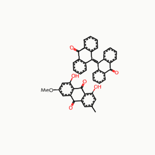 COc1cc(O)c2c(c1)C(=O)c1cc(C)cc(O)c1C2=O.O=C1c2ccccc2C(=C2c3ccccc3C(=O)c3ccccc32)c2ccccc21